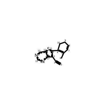 C#Cc1c(C2=C(C)C=CCC2)sc2cncnc12